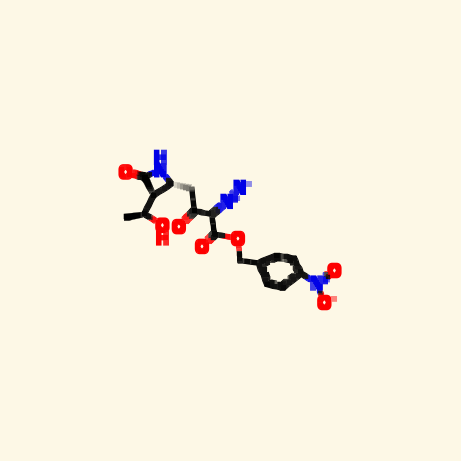 C[C@H](O)[C@H]1C(=O)N[C@@H]1CC(=O)C(=[N+]=[N-])C(=O)OCc1ccc([N+](=O)[O-])cc1